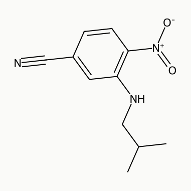 CC(C)CNc1cc(C#N)ccc1[N+](=O)[O-]